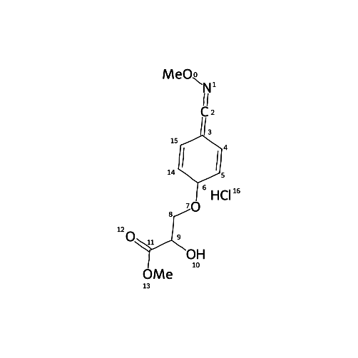 CON=C=C1C=CC(OCC(O)C(=O)OC)C=C1.Cl